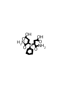 NC(=O)C(=CC(=O)O)N(C(=CC(=O)O)C(N)=O)c1ccccc1